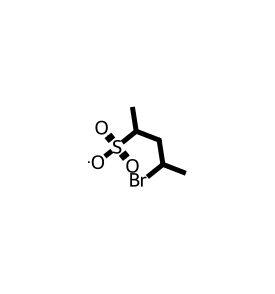 CC(Br)CC(C)S([O])(=O)=O